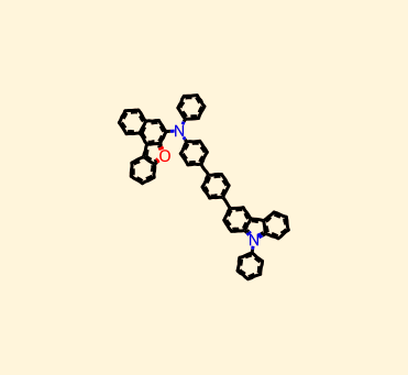 c1ccc(N(c2ccc(-c3ccc(-c4ccc5c(c4)c4ccccc4n5-c4ccccc4)cc3)cc2)c2cc3ccccc3c3c2oc2ccccc23)cc1